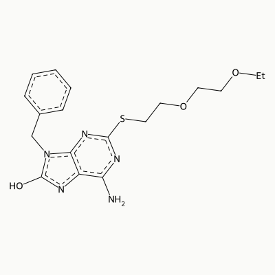 CCOCCOCCSc1nc(N)c2nc(O)n(Cc3ccccc3)c2n1